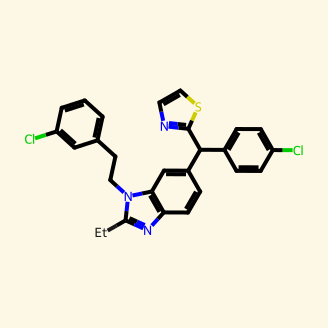 CCc1nc2ccc(C(c3ccc(Cl)cc3)c3nccs3)cc2n1CCc1cccc(Cl)c1